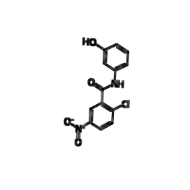 O=C(Nc1cccc(O)c1)c1cc([N+](=O)[O-])ccc1Cl